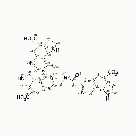 O=C(O)C(Cc1cc(CC(=O)N(CCOc2cc(CC(C(=O)O)C3CCNC3)ncn2)Cc2cc(CC(C(=O)O)C3CCNC3)ncn2)ncn1)C1CCNC1